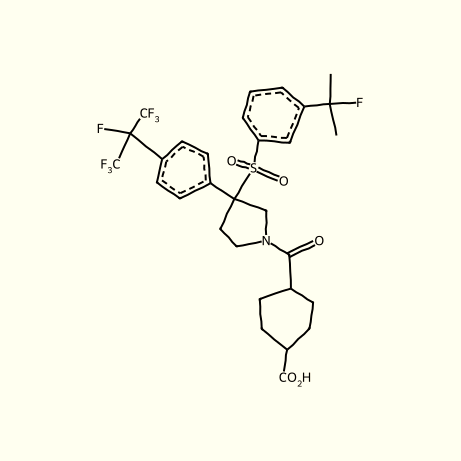 CC(C)(F)c1cccc(S(=O)(=O)C2(c3ccc(C(F)(C(F)(F)F)C(F)(F)F)cc3)CCN(C(=O)C3CCC(C(=O)O)CC3)C2)c1